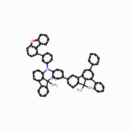 CC1(C)c2ccc(-c3ccc(N(c4cccc(-c5cccc6oc7ccccc7c56)c4)c4cccc5c4C(C)(C)c4ccccc4-5)cc3)cc2-c2cc(-c3ccccc3)cc(-c3ccccc3)c21